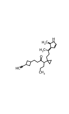 C#CC1CC(CCC(=O)C(CCC)C2(CC/C(C)=c3\cc[nH]c3=C)CC2)C1